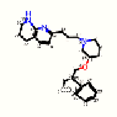 O=C(O)C[C@@H](CO[C@@H]1CCCN(CCCc2ccc3c(n2)NCCC3)C1)c1ccccc1